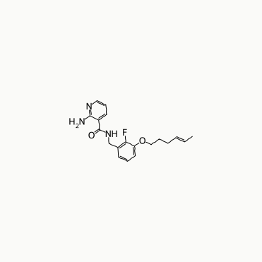 CC=CCCCOc1cccc(CNC(=O)c2cccnc2N)c1F